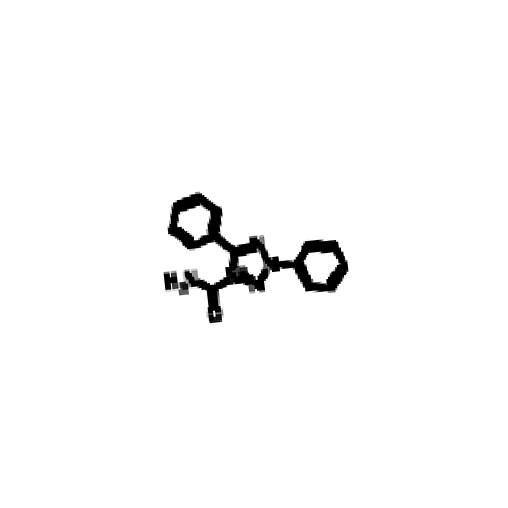 NC(=O)[n+]1nn(-c2ccccc2)nc1-c1ccccc1